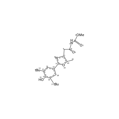 COC(=O)NC(=O)Cc1nc(-c2cc(C(C)(C)C)c(O)c(C(C)(C)C)c2)oc1C